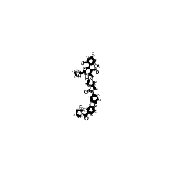 COC(=O)C1=C(CN2CCN3C(=O)N(c4ccc(Oc5ccc(C(=O)N6CCCC6(F)F)cc5)cc4)CC3C2)NC(c2nccs2)=NC1c1ccc(F)cc1Cl